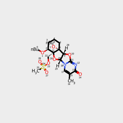 CCCCO[C@H]1CCC[C@@]2(OCCCC)[C@@H]3Oc4nc(=O)c(C)cn4[C@@H]3O[C@@]12COS(C)(=O)=O